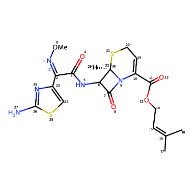 CO/N=C(\C(=O)NC1C(=O)N2C(C(=O)OCC=C(C)C)=CCS[C@H]12)c1csc(N)n1